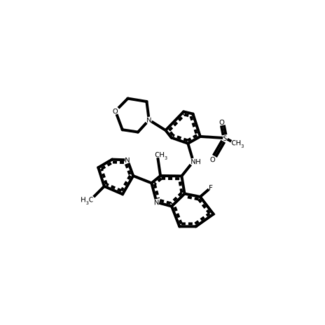 Cc1ccnc(-c2nc3cccc(F)c3c(Nc3cc(N4CCOCC4)ccc3S(C)(=O)=O)c2C)c1